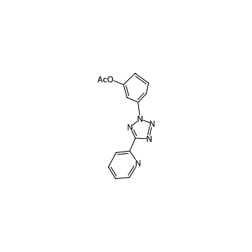 CC(=O)Oc1cccc(-n2nnc(-c3ccccn3)n2)c1